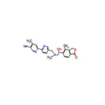 Cc1cc(-c2ccc(CN(C)CC(O)c3ccc4c(c3C)COC4=O)cn2)ncc1C#N